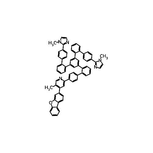 Cc1cnc(-c2ccc(-c3ccccc3-c3cc(-c4ccccc4-c4ccc(-c5nccn5C)cc4)cc(-c4ccccc4-c4ccc(-c5nccn5C)cc4)c3)cc2)cc1-c1ccc2c(c1)oc1ccccc12